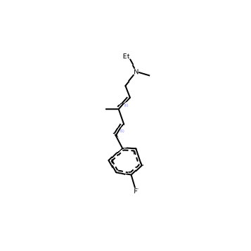 CCN(C)C/C=C(C)/C=C/c1ccc(F)cc1